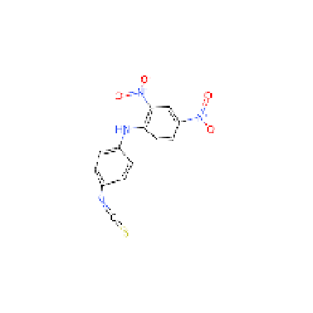 O=[N+]([O-])c1ccc(Nc2ccc(N=C=S)cc2)c([N+](=O)[O-])c1